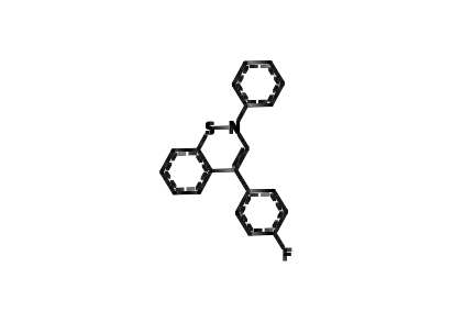 Fc1ccc(C2=CN(c3ccccc3)Sc3ccccc32)cc1